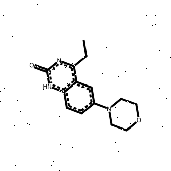 CCc1nc(=O)[nH]c2ccc(N3CCOCC3)cc12